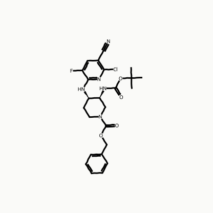 CC(C)(C)OC(=O)N[C@H]1CN(C(=O)OCc2ccccc2)CC[C@H]1Nc1nc(Cl)c(C#N)cc1F